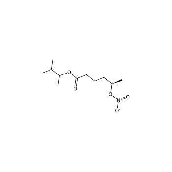 CC(C)C(C)OC(=O)CCC[C@@H](C)O[N+](=O)[O-]